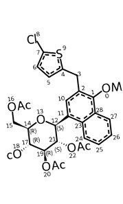 COc1c(Cc2ccc(Cl)s2)cc([C@@H]2O[C@H](COC(C)=O)[C@@H](OC(C)=O)[C@H](OC(C)=O)[C@H]2OC(C)=O)c2ccccc12